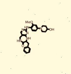 COc1cc(N2CCC(O)CC2)ccc1Nc1ncc2c(n1)NC(Cc1ccccc1)C(=O)NC2